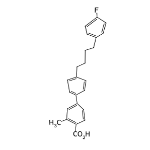 Cc1cc(-c2ccc(CCCCc3ccc(F)cc3)cc2)ccc1C(=O)O